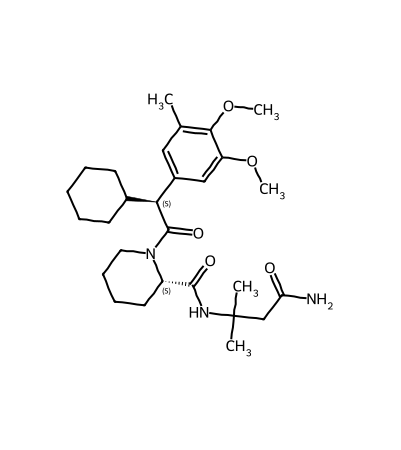 COc1cc([C@@H](C(=O)N2CCCC[C@H]2C(=O)NC(C)(C)CC(N)=O)C2CCCCC2)cc(C)c1OC